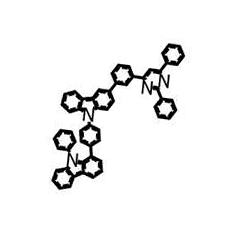 c1ccc(-c2cc(-c3cccc(-c4ccc5c(c4)c4ccccc4n5-c4ccc(-c5cccc6c7ccccc7n(-c7ccccc7)c56)cc4)c3)nc(-c3ccccc3)n2)cc1